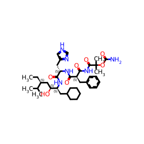 CC[C@@H](C[C@H](O)[C@H](CC1CCCCC1)NC(=O)[C@H](Cc1c[nH]cn1)NC(=O)[C@H](Cc1ccccc1)C(=O)NC(=O)C(C)(C)OC(N)=O)C(C)C